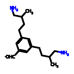 CC(CN)CCc1cc([C]=O)cc(CCC(C)CN)c1